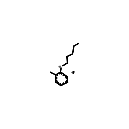 CCCCCNc1ccccc1C.F